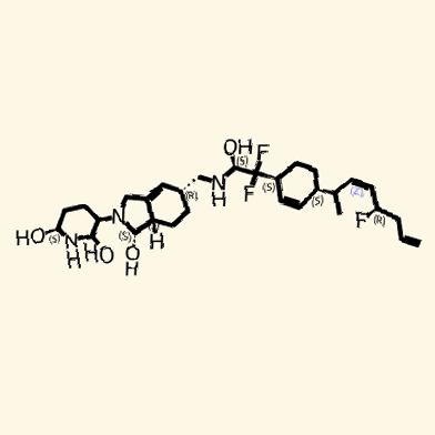 C=CC[C@@H](F)/C=C\C(C)[C@H]1C=C[C@@H](C(F)(F)[C@H](O)NC[C@H]2C=C3CN(C4CC[C@H](O)NC4O)[C@@H](O)[C@H]3CC2)CC1